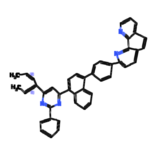 C/C=C\C(=C/C)c1cc(-c2ccc(-c3ccc(-c4ccc5ccc6cccnc6c5n4)cc3)c3ccccc23)nc(-c2ccccc2)n1